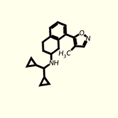 Cc1cnoc1-c1cccc2c1CC(NC(C1CC1)C1CC1)CC2